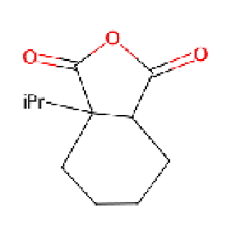 CC(C)C12CCCCC1C(=O)OC2=O